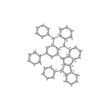 c1ccc(N2c3cc(-c4ncccn4)cc4c3B(c3nccnc32)c2cccc3c5c6nccnc6n(-c6ccccc6)c5n-4c23)cc1